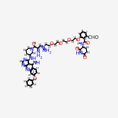 CN(C(=O)c1c(C=O)cccc1OCCOCCOCCOCCN(N)/C=C(\N)C(=O)N1CCCC(Nc2ncnc(N)c2C(=N)c2ccc(Oc3ccccc3)cc2)C1)C1CCC(=O)NC1=O